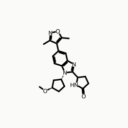 CO[C@@H]1CC[C@@H](n2c(C3CCC(=O)N3)nc3cc(-c4c(C)noc4C)ccc32)C1